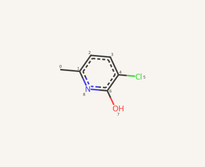 Cc1ccc(Cl)c(O)n1